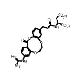 N=C(N)Nc1ccc2c(c1)OCCOc1cc(CCC(=O)N[C@@H](CC(=O)O)C(=O)O)ccc1OC2=O